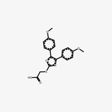 COc1ccc(-c2nc(SCC(=O)O)oc2-c2ccc(OC)cc2)cc1